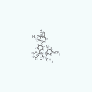 CC(C(=O)NC1(c2ccc(N3CCNC(C)(C)C3=O)cc2)CCCCC1)c1cc(C(F)(F)F)cc(C(F)(F)F)c1